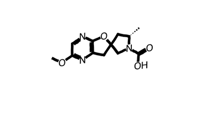 COc1cnc2c(n1)CC1(C[C@H](C)N(C(=O)O)C1)O2